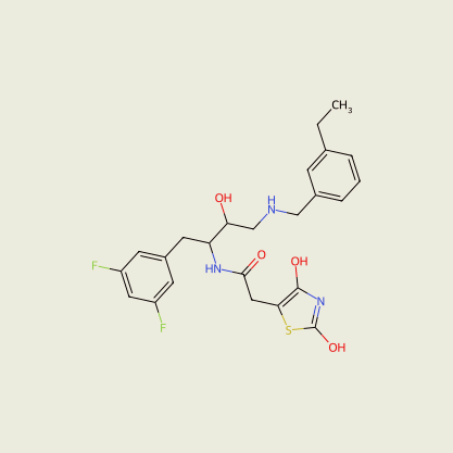 CCc1cccc(CNCC(O)C(Cc2cc(F)cc(F)c2)NC(=O)Cc2sc(O)nc2O)c1